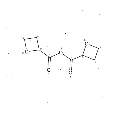 O=C(OC(=O)C1CCO1)C1CCO1